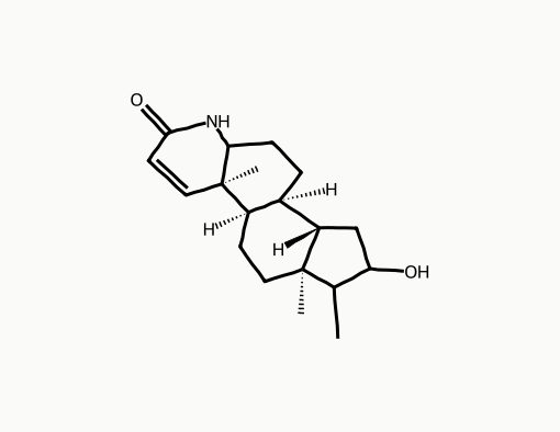 CC1C(O)C[C@H]2[C@@H]3CCC4NC(=O)C=C[C@]4(C)[C@@H]3CC[C@]12C